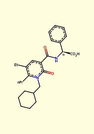 CCCc1c(CC)cc(C(=O)N[C@H](C(=O)O)c2ccccc2)c(=O)n1CC1CCCCC1